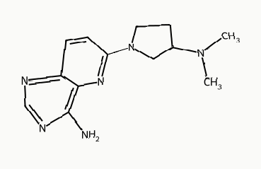 CN(C)C1CCN(c2ccc3ncnc(N)c3n2)C1